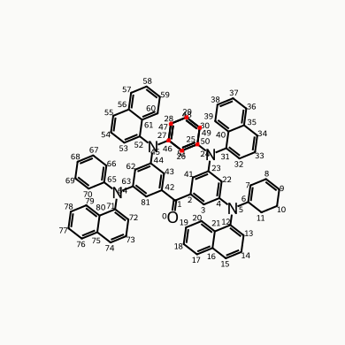 O=C(c1cc(N(C2=CC=CCC2)c2cccc3ccccc23)cc(N(c2ccccc2)c2cccc3ccccc23)c1)c1cc(N(c2ccccc2)c2cccc3ccccc23)cc(N(c2ccccc2)c2cccc3ccccc23)c1